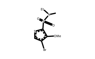 CCN(C)S(=O)(=O)c1scc(Br)c1OC